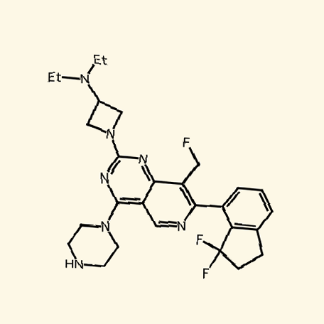 CCN(CC)C1CN(c2nc(N3CCNCC3)c3cnc(-c4cccc5c4C(F)(F)CC5)c(CF)c3n2)C1